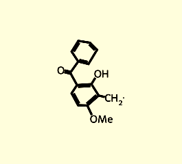 [CH2]c1c(OC)ccc(C(=O)c2ccccc2)c1O